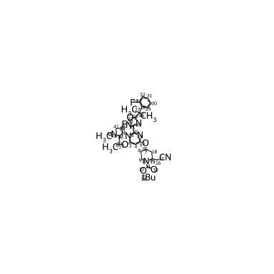 C[C@H](Oc1cc(O[C@H]2CCN(C(=O)OC(C)(C)C)[C@H](CC#N)C2)nc(-c2noc(C(C)(C)c3ccccc3F)n2)n1)[C@@H]1C[C@@H](F)CN1C